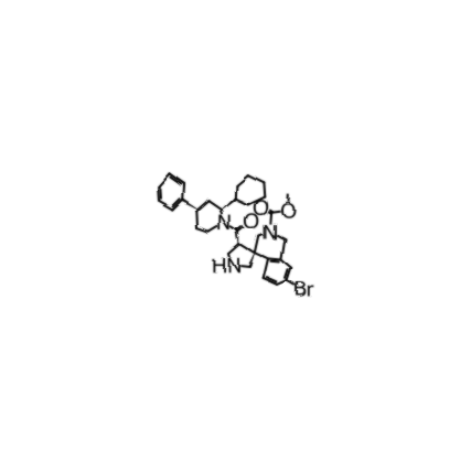 COC(=O)N1Cc2cc(Br)ccc2[C@@]2(CNC[C@H]2C(=O)N2CC[C@@H](c3ccccc3)C[C@H]2C2CCCCC2)C1